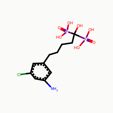 Nc1cc(Cl)cc(CCCCC(O)(P(=O)(O)O)P(=O)(O)O)c1